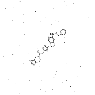 O=C(Cc1nnc([C@@H]2CCc3nc(NC4Cc5ccccc5C4)ncc32)o1)N1CCc2nn[nH]c2C1